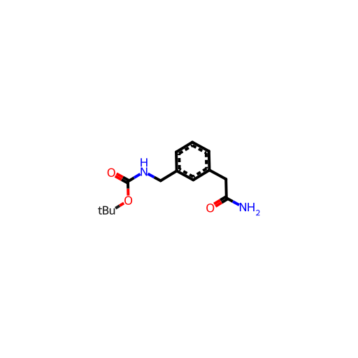 CC(C)(C)OC(=O)NCc1cccc(CC(N)=O)c1